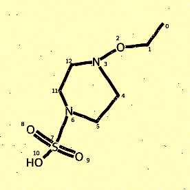 CCON1CCN(S(=O)(=O)O)CC1